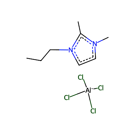 CCC[n+]1ccn(C)c1C.[Cl][Al-]([Cl])([Cl])[Cl]